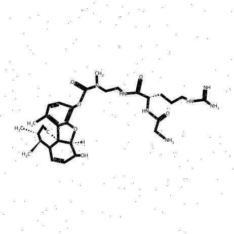 Cc1ccc(OC(=O)N(C)CCNC(=O)[C@H](CCCNC(=N)N)NC(=O)CN)c2c1[C@]13CC[C@@H](C)[C@H](C)C1C=CC(O)[C@@H]3O2